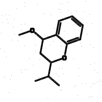 COC1CC(C(C)C)Oc2ccccc21